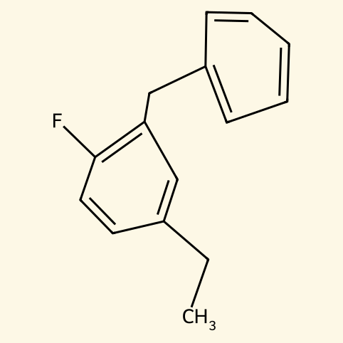 CCc1ccc(F)c(Cc2ccccc2)c1